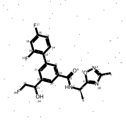 Cc1noc([C@@H](C)NC(=O)c2cc(-c3ccc(F)cc3F)cc(C(O)CF)c2)n1